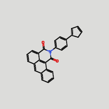 O=C1c2cccc3cc4ccccc4c(c23)C(=O)N1c1ccc(C2=CC=CC2)cc1